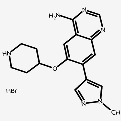 Br.Cn1cc(-c2cc3ncnc(N)c3cc2OC2CCNCC2)cn1